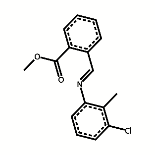 COC(=O)c1ccccc1C=Nc1cccc(Cl)c1C